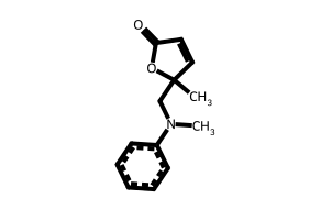 CN(CC1(C)C=CC(=O)O1)c1ccccc1